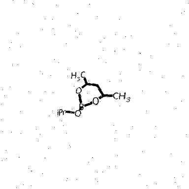 CC(C)OB1OC(C)CC(C)O1